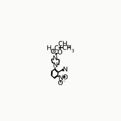 CC(C)(C)OC(=O)N1CCN(c2cccc([N+](=O)[O-])c2C#N)CC1